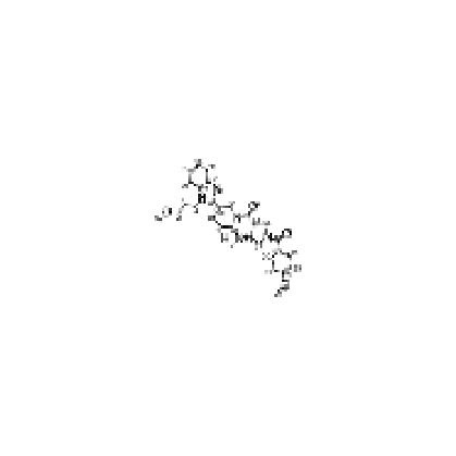 COCCCn1c([C@@H]2CCCN(C(=O)[C@@H]3CN(C(=O)c4ccc(OC)cc4)C[C@H]3N)C2)nc2ccccc21